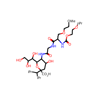 CCCOCCOC(=O)NC(COCCOC)C(=O)NCC(=O)NC1C(O)CC(C(=O)O)(C(C(C)C)C(C)C)OC1C(O)C(O)CO